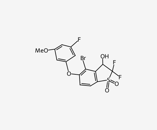 COc1cc(F)cc(Oc2ccc3c(c2Br)C(O)C(F)(F)S3(=O)=O)c1